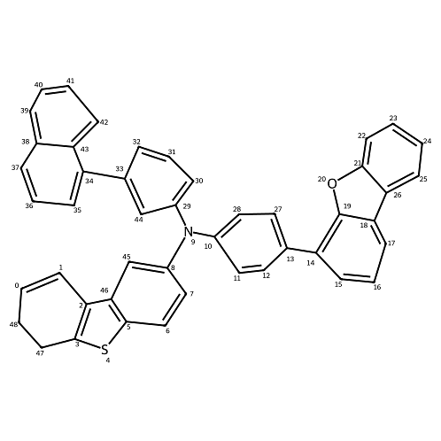 C1=Cc2c(sc3ccc(N(c4ccc(-c5cccc6c5oc5ccccc56)cc4)c4cccc(-c5cccc6ccccc56)c4)cc23)CC1